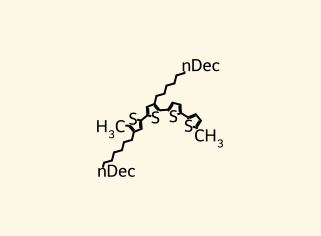 CCCCCCCCCCCCCCCCc1cc(-c2cc(CCCCCCCCCCCCCCCC)c(-c3ccc(-c4ccc(C)s4)s3)s2)sc1C